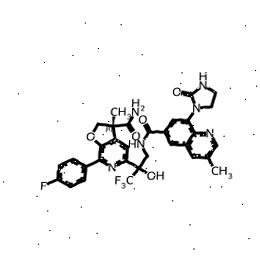 Cc1cnc2c(N3CCNC3=O)cc(C(=O)NCC(O)(c3cc4c(c(-c5ccc(F)cc5)n3)OC[C@]4(C)C(N)=O)C(F)(F)F)cc2c1